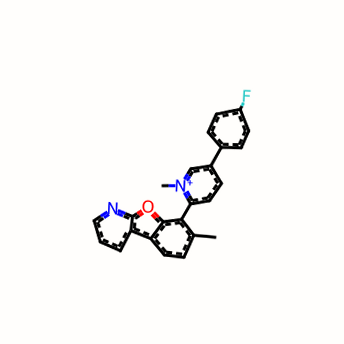 Cc1ccc2c(oc3ncccc32)c1-c1ccc(-c2ccc(F)cc2)c[n+]1C